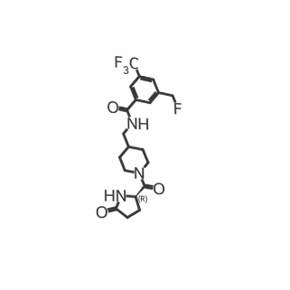 O=C1CC[C@H](C(=O)N2CCC(CNC(=O)c3cc(CF)cc(C(F)(F)F)c3)CC2)N1